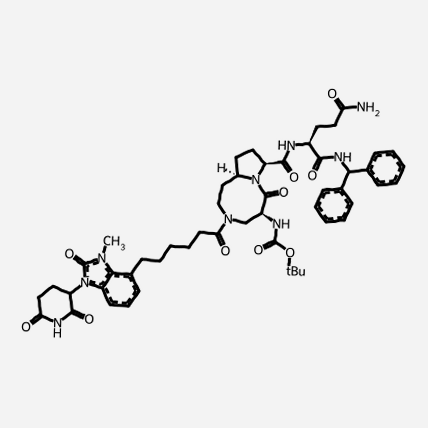 Cn1c(=O)n(C2CCC(=O)NC2=O)c2cccc(CCCCCC(=O)N3CC[C@H]4CC[C@@H](C(=O)N[C@@H](CCC(N)=O)C(=O)NC(c5ccccc5)c5ccccc5)N4C(=O)[C@@H](NC(=O)OC(C)(C)C)C3)c21